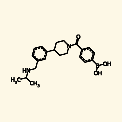 CC(C)NCc1cccc(C2CCN(C(=O)c3ccc(B(O)O)cc3)CC2)c1